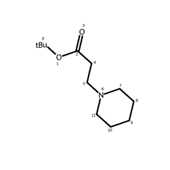 CC(C)(C)OC(=O)CCN1CCCCC1